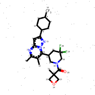 Cc1nc2cc(C3CCC(C(F)(F)F)CC3)nn2c(C2CN(C(=O)C3(C)COC3)CC(F)(F)C2)c1C